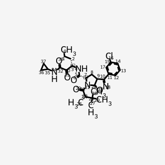 CCC[C@H](NC(=O)[C@@H]1CC2C(c3cccc(Cl)c3)=NOC2N1C(=O)[C@@H](C)C(C)(C)C)C(=O)C(=O)NC1CC1